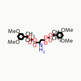 COc1cc(OC)cc(C(C)(C)OC(=O)OC(=O)C[C@H](N)C(=O)OC(=O)OC(C)(C)c2cc(OC)cc(OC)c2)c1